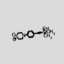 C[Si](C)(C)C#Cc1ccc(N2CCS(=O)(=O)CC2)cc1